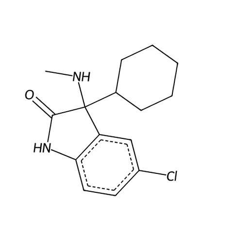 CNC1(C2CCCCC2)C(=O)Nc2ccc(Cl)cc21